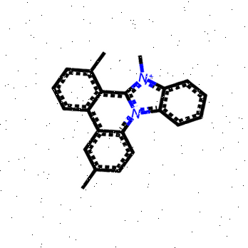 Cc1ccc2c(c1)c1cccc(C)c1c1n2c2ccccc2[n+]1C